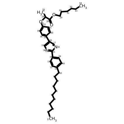 CCCCCCCCCCCc1ccc(-c2ncc(-c3ccc(OC(C)C(=O)OCCCCCC)cc3)cn2)cc1